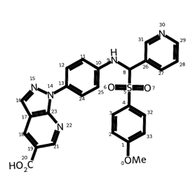 COc1ccc(S(=O)(=O)C(Nc2ccc(-n3ncc4cc(C(=O)O)cnc43)cc2)c2cccnc2)cc1